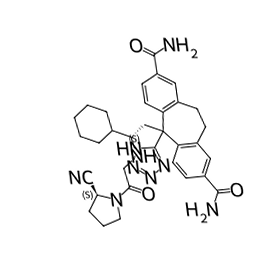 N#C[C@@H]1CCCN1C(=O)CN[C@@H](CC1(c2nnn[nH]2)c2ccc(C(N)=O)cc2CCc2cc(C(N)=O)ccc21)C1CCCCC1